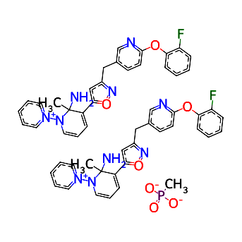 CC1(N)C(c2cc(Cc3ccc(Oc4ccccc4F)nc3)no2)=CC=CN1[n+]1ccccc1.CC1(N)C(c2cc(Cc3ccc(Oc4ccccc4F)nc3)no2)=CC=CN1[n+]1ccccc1.CP(=O)([O-])[O-]